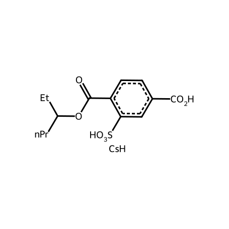 CCCC(CC)OC(=O)c1ccc(C(=O)O)cc1S(=O)(=O)O.[CsH]